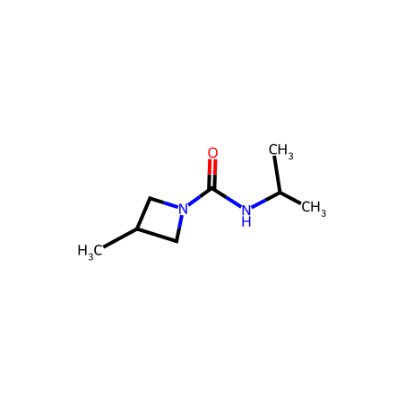 CC1CN(C(=O)NC(C)C)C1